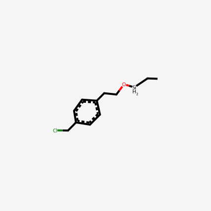 CC[SiH2]OCCc1ccc(CCl)cc1